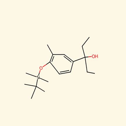 CCC(O)(CC)c1ccc(O[Si](C)(C)C(C)(C)C)c(C)c1